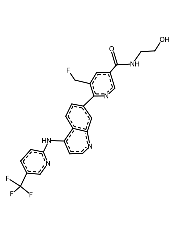 O=C(NCCO)c1cnc(-c2ccc3c(Nc4ccc(C(F)(F)F)cn4)ccnc3c2)c(CF)c1